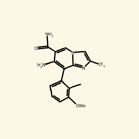 COc1cccc(-c2c(N)c(C(N)=O)cn3cc(C(F)(F)F)nc23)c1C